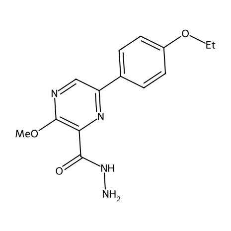 CCOc1ccc(-c2cnc(OC)c(C(=O)NN)n2)cc1